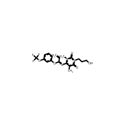 C=C/C(=N\c1c(C)c(=O)n(CCCO)c(=O)n1C)Oc1cccc(OC(F)(F)F)c1